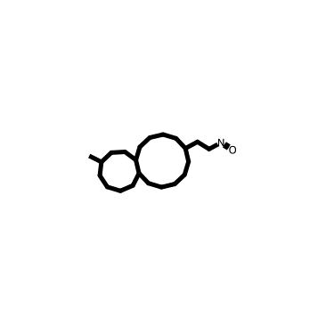 CC1CCCCC2CCCCCC(CCN=O)CCCCC2CC1